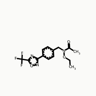 CCON(Cc1ccc(-c2noc(C(F)(F)F)n2)cc1)C(C)=O